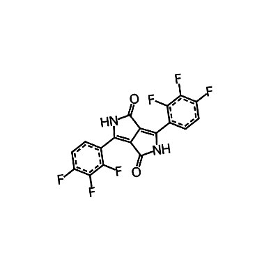 O=C1NC(c2ccc(F)c(F)c2F)=C2C(=O)NC(c3ccc(F)c(F)c3F)=C12